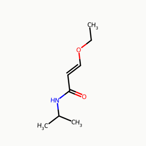 CCO/C=C/C(=O)NC(C)C